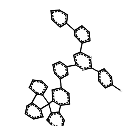 Fc1ccc(-c2nc(-c3cccc(-c4ccccc4)c3)cc(-c3cccc(-c4ccc5c(c4)C4(c6ccccc6-c6ccccc64)c4ccccc4-5)c3)n2)cc1